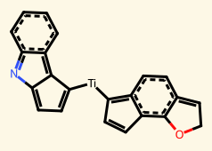 C1=Cc2c3c(ccc2=[C]1[Ti][C]1=CC=C2N=c4ccccc4=C21)=CCO3